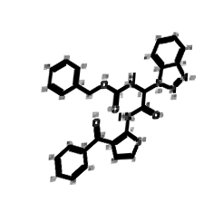 O=C(NC(C(=O)Nc1sccc1C(=O)c1ccccc1)n1nnc2ccccc21)OCc1ccccc1